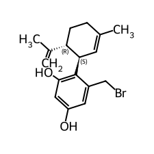 C=C(C)[C@@H]1CCC(C)=C[C@H]1c1c(O)cc(O)cc1CBr